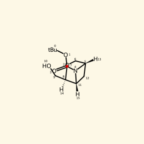 CC(C)(C)OC(=O)N1[C@@H]2CO[C@H](CO)[C@H]1C2